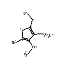 CCOC(=O)c1c(CBr)sc(Br)c1OCC